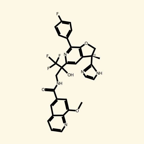 COc1cc(C(=O)NCC(O)(c2cc3c(c(-c4ccc(F)cc4)n2)OC[C@]3(C)c2ncc[nH]2)C(F)(F)F)cc2cccnc12